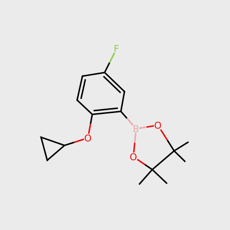 CC1(C)OB(c2cc(F)ccc2OC2CC2)OC1(C)C